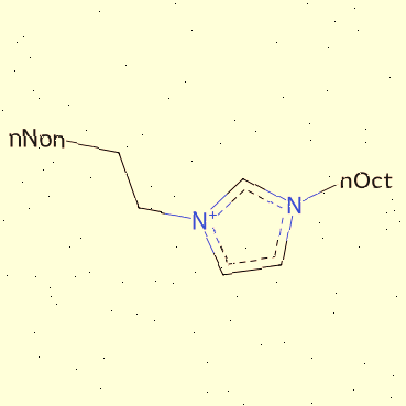 CCCCCCCCCCC[n+]1ccn(CCCCCCCC)c1